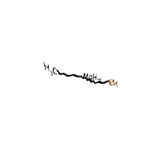 CCCCCCCCCCCCCCCCCCBr.[MgH2]